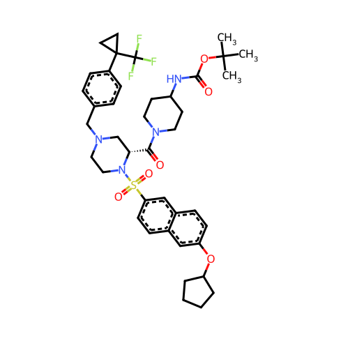 CC(C)(C)OC(=O)NC1CCN(C(=O)[C@H]2CN(Cc3ccc(C4(C(F)(F)F)CC4)cc3)CCN2S(=O)(=O)c2ccc3cc(OC4CCCC4)ccc3c2)CC1